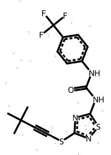 CC(C)(C)C#CSc1nsc(NC(=O)Nc2ccc(C(F)(F)F)cc2)n1